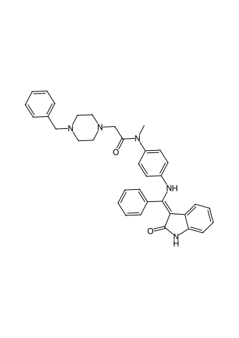 CN(C(=O)CN1CCN(Cc2ccccc2)CC1)c1ccc(NC(=C2C(=O)Nc3ccccc32)c2ccccc2)cc1